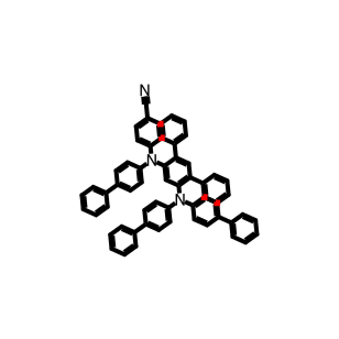 N#Cc1ccc(N(c2ccc(-c3ccccc3)cc2)c2cc(N(c3ccc(-c4ccccc4)cc3)c3ccc(-c4ccccc4)cc3)c(-c3ccccc3)cc2-c2ccccc2)cc1